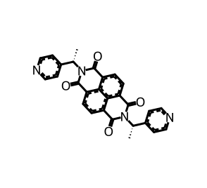 C[C@@H](c1ccncc1)N1C(=O)c2ccc3c4c(ccc(c24)C1=O)C(=O)N([C@@H](C)c1ccncc1)C3=O